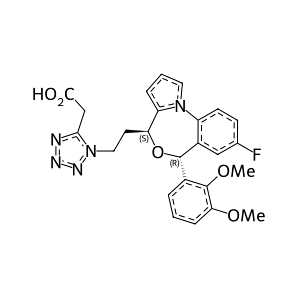 COc1cccc([C@@H]2O[C@@H](CCn3nnnc3CC(=O)O)c3cccn3-c3ccc(F)cc32)c1OC